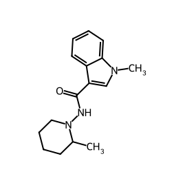 CC1CCCCN1NC(=O)c1cn(C)c2ccccc12